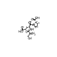 N[C@@H](CS)C(=O)N[C@@H](CCC(=O)O)C(=O)N1CCC[C@H]1C(=O)O